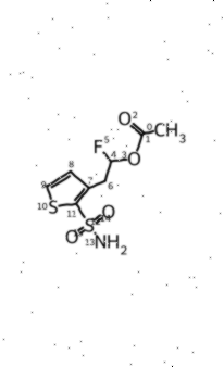 CC(=O)OC(F)Cc1ccsc1S(N)(=O)=O